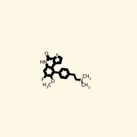 COc1c(F)cc2[nH]c(=O)c3sccc3c2c1-c1ccc(CCN(C)C)cc1